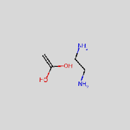 C=C(O)O.NCCN